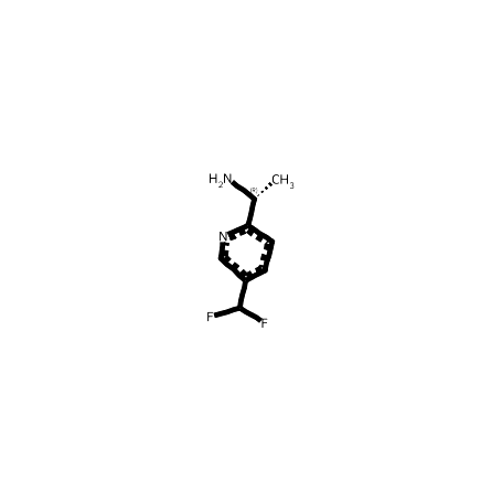 C[C@@H](N)c1ccc(C(F)F)cn1